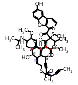 CC#C/C=C\C#C[C@H](OC1OC(C)C(SC)(C(=O)c2nccc3c2oc2ccc(O)cc23)C(O)C1OC1CC(OC)C(NC(C)C)CO1)C1=C(NC(=O)OC)C(=O)C[C@H](O)/C1=C/CSC(C)=O